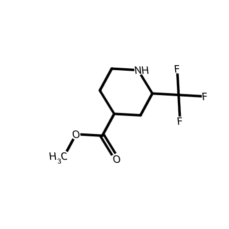 COC(=O)C1CCNC(C(F)(F)F)C1